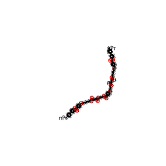 CCCC1CCC(c2ccc(OC(=O)c3ccc(OCCCCCCOC(=O)CCC(=O)OCCCOc4ccc(C(=O)OCCCOC(=O)CCC(=O)OCCCCCCOc5ccc(C(=O)Oc6ccc([C@H]7CC[C@H](CCC)CC7)cc6)cc5)cc4)cc3)cc2)CC1